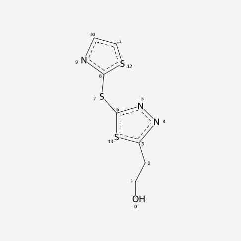 OCCc1nnc(Sc2nccs2)s1